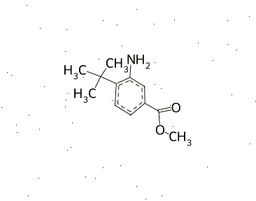 COC(=O)c1ccc(C(C)(C)C)c(N)c1